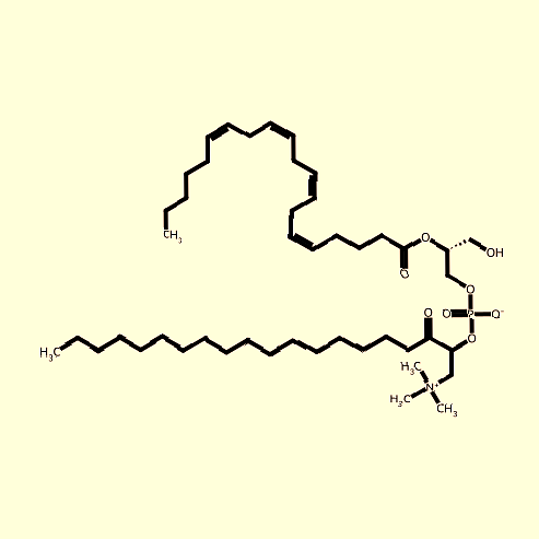 CCCCC/C=C\C/C=C\C/C=C\C/C=C\CCCC(=O)O[C@H](CO)COP(=O)([O-])OC(C[N+](C)(C)C)C(=O)CCCCCCCCCCCCCCCCC